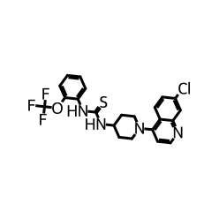 FC(F)(F)Oc1ccccc1NC(=S)NC1CCN(c2ccnc3cc(Cl)ccc23)CC1